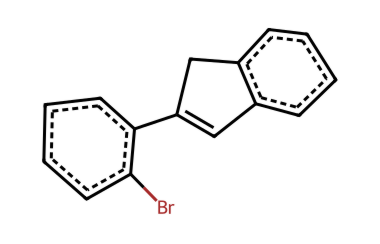 Brc1ccccc1C1=Cc2ccccc2C1